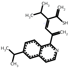 C=C(S)/C(=C\C(=C)c1nccc2cc(C(C)C)ccc12)C(C)C